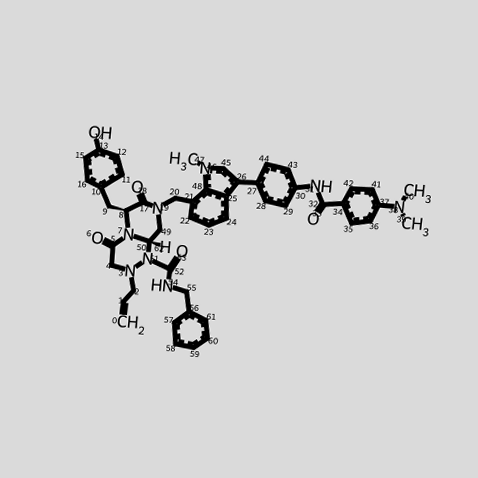 C=CCN1CC(=O)N2[C@@H](Cc3ccc(O)cc3)C(=O)N(Cc3cccc4c(-c5ccc(NC(=O)c6ccc(N(C)C)cc6)cc5)cn(C)c34)C[C@@H]2N1C(=O)NCc1ccccc1